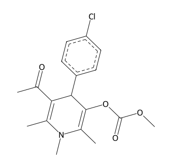 COC(=O)OC1=C(C)N(C)C(C)=C(C(C)=O)C1c1ccc(Cl)cc1